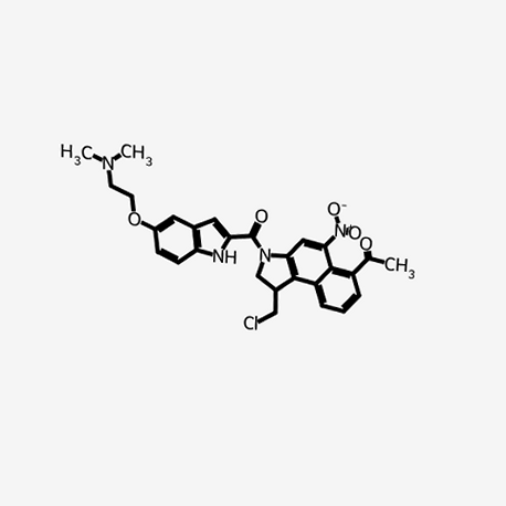 CC(=O)c1cccc2c3c(cc([N+](=O)[O-])c12)N(C(=O)c1cc2cc(OCCN(C)C)ccc2[nH]1)CC3CCl